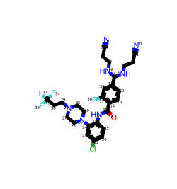 N#CCCNC(NCCC#N)c1ccc(C(=O)Nc2ccc(Cl)cc2N2CCN(CCC(F)(F)F)CC2)c(F)c1